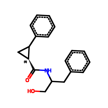 O=C(NC(CO)Cc1ccccc1)[C@@H]1CC1c1ccccc1